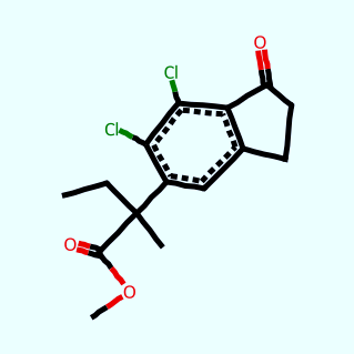 CCC(C)(C(=O)OC)c1cc2c(c(Cl)c1Cl)C(=O)CC2